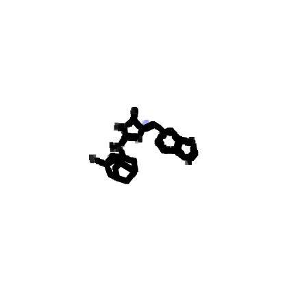 O=C1NC(NC23CC4CC(CC(F)(C4)C2)C3)=N/C1=C\c1ccc2ncsc2c1